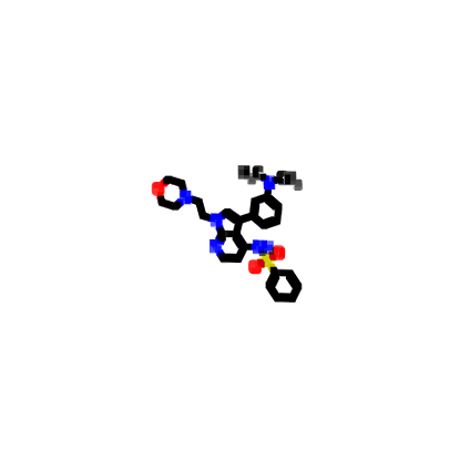 CN(C)c1cccc(-c2cn(CCN3CCOCC3)c3nccc(NS(=O)(=O)c4ccccc4)c23)c1